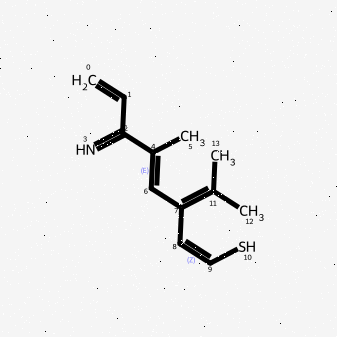 C=CC(=N)/C(C)=C/C(/C=C\S)=C(C)C